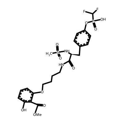 COC(=O)c1c(O)cccc1OCCCCNC(=O)[C@H](Cc1ccc(OP(=O)(O)C(F)F)cc1)NS(C)(=O)=O